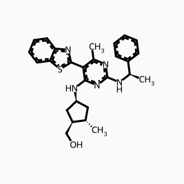 Cc1nc(N[C@H](C)c2ccccc2)nc(N[C@@H]2C[C@H](CO)[C@@H](C)C2)c1-c1nc2ccccc2s1